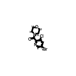 O=C(c1ncc(Br)cc1Cl)N1CCOCC1